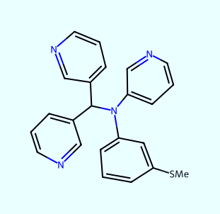 CSc1cccc(N(c2cccnc2)C(c2cccnc2)c2cccnc2)c1